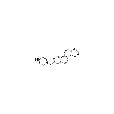 C1=CN(Cc2ccc3c(ccc4c5ccccc5ccc34)c2)CCN1